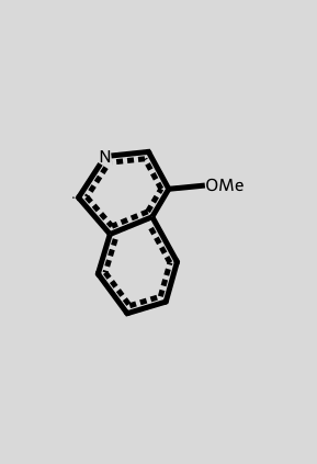 COc1cn[c]c2ccccc12